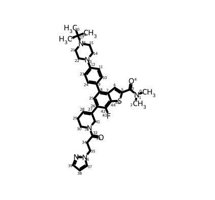 CN(C)C(=O)c1cc2c(-c3ccc(N4CCN(C(C)(C)C)CC4)cc3)cc(C3=CCCN(C(=O)CCn4cccn4)C3)c(F)c2s1